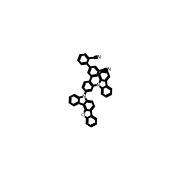 N#Cc1cc(-c2ccccc2C#N)cc(-c2ccc(-n3c4ccccc4c4c5oc6ccccc6c5ccc43)cc2-n2c3ccccc3c3ccccc32)c1